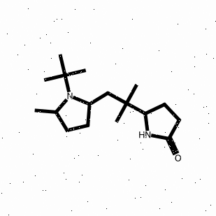 CC1CCC(CC(C)(C)C2CCC(=O)N2)N1C(C)(C)C